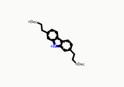 CCCCCCCCCCCCc1ccc2c(c1)[nH]c1cc(CCCCCCCCCCCC)ccc12